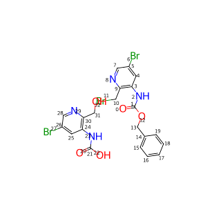 O=C(Nc1cc(Br)cnc1CBr)OCc1ccccc1.O=C(O)Nc1cc(Br)cnc1CO